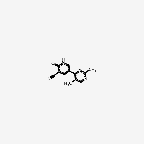 Cc1ncc(C)c(-c2c[nH]c(=O)c(C#N)c2)n1